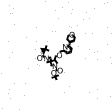 CC(C)(C)OC(=O)N1CC(COCc2cccc(C3=CCOCC3)n2)C2(C1)CN(C(=O)[C@H]1CC1(C)C)C2